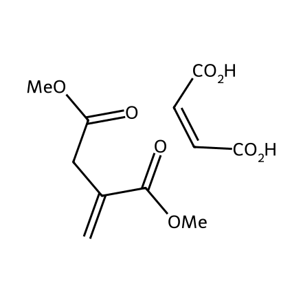 C=C(CC(=O)OC)C(=O)OC.O=C(O)/C=C\C(=O)O